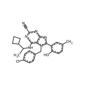 Cc1ccc(O)c(-c2nc3nc(C#N)nc(NC(C)C4CCC4)c3n2Cc2ccc(Cl)cc2)c1